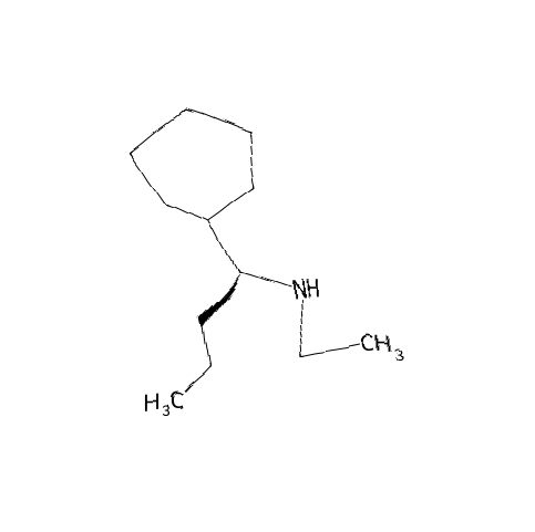 CCC[C@H](NCC)C1CCCCC1